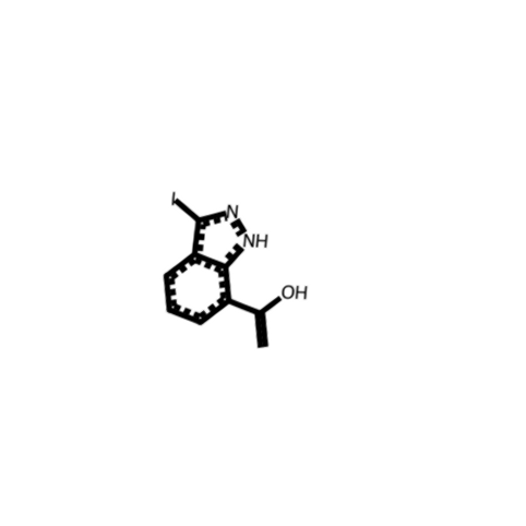 C=C(O)c1cccc2c(I)n[nH]c12